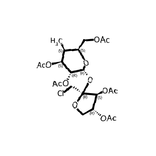 CC(=O)OC[C@H]1O[C@H](O[C@]2(CCl)OC[C@@H](OC(C)=O)[C@@H]2OC(C)=O)[C@H](OC(C)=O)[C@@H](OC(C)=O)[C@H]1C